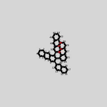 [c]1c2ccccc2cc2cc(-c3ccc4ccccc4c3)c(-c3cccc4cc5ccccc5cc34)c(-c3ccc4cc5ccccc5cc4c3)c12